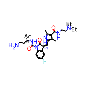 CCN(CC)CCNC(=O)c1c(C)[nH]c(/C=C2\C(=O)N(C(=O)N[C@@H](CCN)C(C)=O)c3ccc(F)cc32)c1C